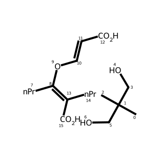 CC(C)(CO)CO.CCCC(OC=CC(=O)O)=C(CCC)C(=O)O